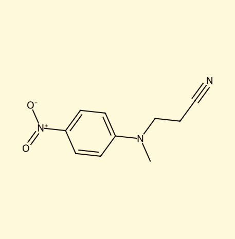 CN(CCC#N)c1ccc([N+](=O)[O-])cc1